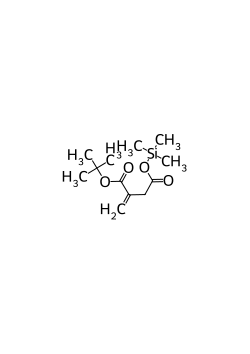 C=C(CC(=O)O[Si](C)(C)C)C(=O)OC(C)(C)C